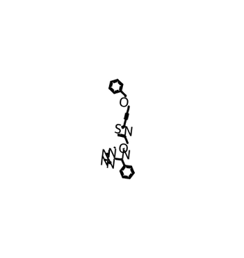 Cn1nnnc1C(=NOCc1csc(C#CCOCc2ccccc2)n1)c1ccccc1